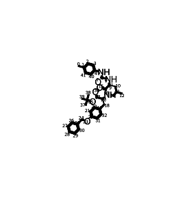 Cc1ccc(NC(=O)N[C@@H](CC(C)C)C(=O)N[C@@H](Cc2ccc(OCc3ccccc3)cc2)C(=O)OC(C)(C)C)cc1